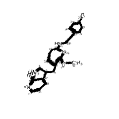 COC1=C(CC2CNc3ncccc32)CCC(NCc2ccc(Cl)cc2)=N1